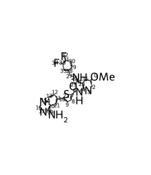 CO[C@H]1C=NC(NCc2ccc(-c3ccc4ncnc(N)c4c3)s2)=C(C(=O)NCc2ccc(F)c(F)c2)C1